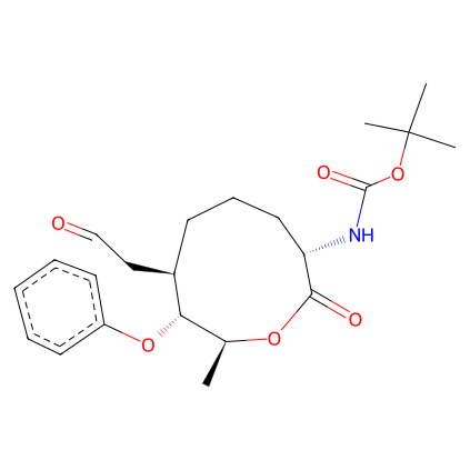 C[C@@H]1OC(=O)[C@@H](NC(=O)OC(C)(C)C)CCC[C@H](CC=O)[C@H]1Oc1ccccc1